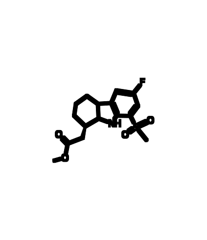 COC(=O)C[C@H]1CCCC2c3cc(F)cc(S(C)(=O)=O)c3NC21